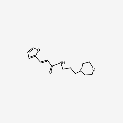 O=C(/C=C/c1ccco1)NCCCN1CCOCC1